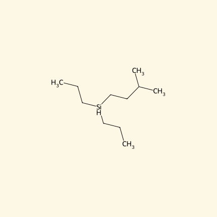 CCC[SiH](CCC)CCC(C)C